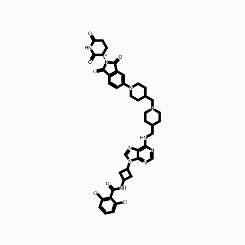 O=C1CC[C@H](N2C(=O)c3ccc(N4CCC(CN5CCC(CNc6ncnc7c6ncn7C6CC(NC(=O)c7c(Cl)cccc7Cl)C6)CC5)CC4)cc3C2=O)C(=O)N1